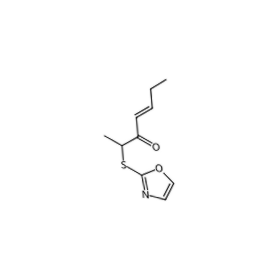 CC/C=C/C(=O)C(C)Sc1ncco1